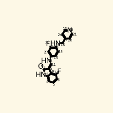 O=C1Nc2cccc(F)c2C1=CNc1ccc(NCc2ccncc2)c(F)c1